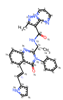 Cc1nn2cccnc2c1C(=O)N[C@H](C)c1nc2cccc(/C=C/c3ccc[nH]3)c2c(=O)n1-c1ccccc1